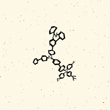 Fc1ccc([Si](c2ccc(F)cc2)(c2ccc(F)cc2)c2ccc(-c3ccc(N(c4ccc(-c5ccccc5)cc4)c4ccc(-c5ccc6c(c5)c5ccccc5n6-c5ccccc5)cc4)cc3)cc2)cc1